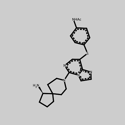 CC(=O)Nc1ccc(Sc2cnc(N3CCC4(CCC[C@H]4N)CC3)n3ccnc23)cc1